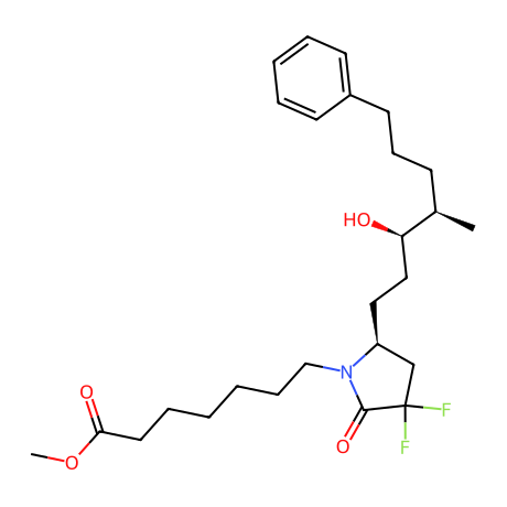 COC(=O)CCCCCCN1C(=O)C(F)(F)C[C@@H]1CC[C@@H](O)[C@H](C)CCCc1ccccc1